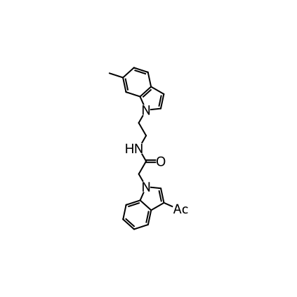 CC(=O)c1cn(CC(=O)NCCn2ccc3ccc(C)cc32)c2ccccc12